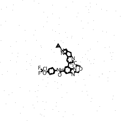 C[C@@H]1COCc2nc3cc(C(=O)Nc4ccc(OC(F)(F)Cl)cc4)cc(-c4cnc5c(c4)-c4nn(C6CC6)cc4C5)c3n21